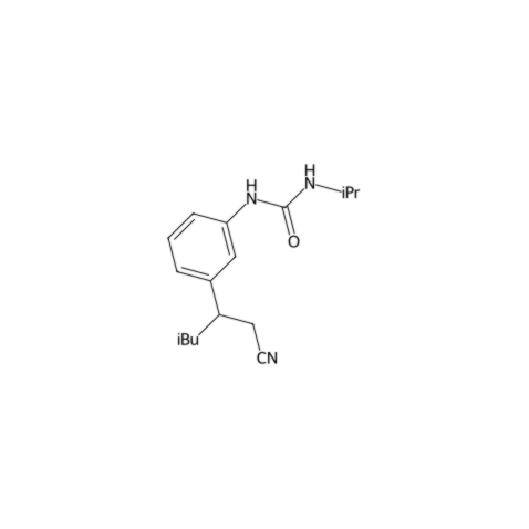 CCC(C)C(CC#N)c1cccc(NC(=O)NC(C)C)c1